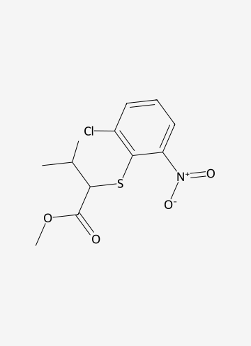 COC(=O)C(Sc1c(Cl)cccc1[N+](=O)[O-])C(C)C